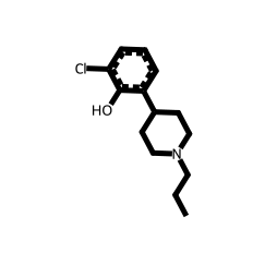 CCCN1CCC(c2cccc(Cl)c2O)CC1